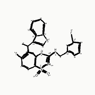 CC(c1c(F)ccc2c1NC(NCc1cccc(F)c1)=NS2(=O)=O)c1c[nH]c2ccccc12